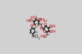 O=[N+]([O-])c1ccc(O[C@H]2O[C@H](CO[C@@H]3O[C@H](CO)[C@H](O)[C@H](O)[C@H]3O)[C@H](O)[C@H](O)[C@H]2O)cc1